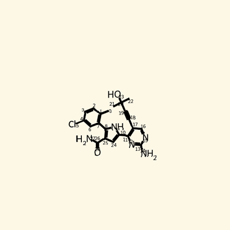 Cc1ccc(Cl)cc1-c1[nH]c(-c2nc(N)ncc2C#CC(C)(C)O)cc1C(N)=O